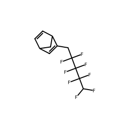 FC(F)C(F)(F)C(F)(F)C(F)(F)CC1=CC2C=CC1C2